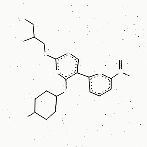 CCC(F)CNc1ncc(-c2cccc([N+](=O)[O-])n2)c(NC2CCC(O)CC2)n1